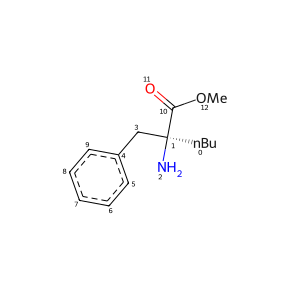 CCCC[C@](N)(Cc1ccccc1)C(=O)OC